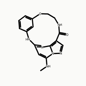 CNc1cc2nc3c(cnn13)C(=O)NCCOc1cccc(c1)N2